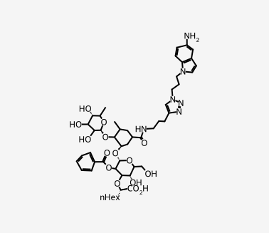 CCCCCC[C@H](OC1C(OC(=O)c2ccccc2)[C@H](O[C@@H]2CC(C(=O)NCCCc3cn(CCCn4ccc5cc(N)ccc54)nn3)CC(C)C2O[C@@H]2OC(C)[C@@H](O)C(O)C2O)OC(CO)[C@@H]1O)C(=O)O